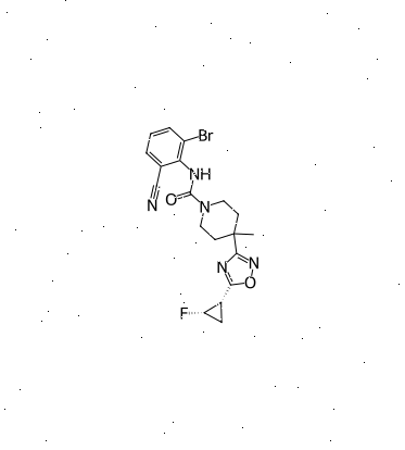 CC1(c2noc([C@@H]3C[C@@H]3F)n2)CCN(C(=O)Nc2c(Br)cccc2C#N)CC1